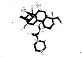 C=C1[C@H]2CCC3(C(C2)[C@]2(COC(=O)N4CCOCC4)CCC[C@@](C)(CC)C2C[C@H]3O)[C@H]1O